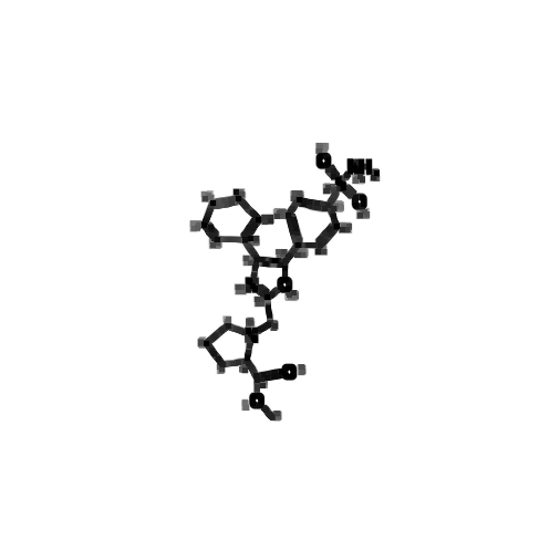 COC(=O)C1CCCN1Cc1nc(-c2ccccc2)c(-c2ccc(S(N)(=O)=O)cc2)o1